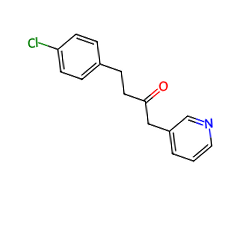 O=C(CCc1ccc(Cl)cc1)Cc1cccnc1